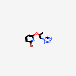 CC(Cn1cnnn1)Oc1cccc(Br)n1